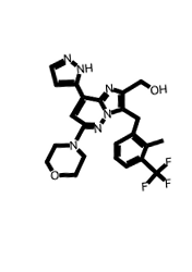 Cc1c(Cc2c(CO)nc3c(-c4ccn[nH]4)cc(N4CCOCC4)nn23)cccc1C(F)(F)F